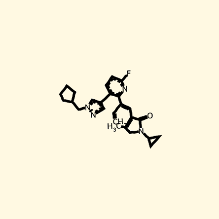 C=C/C(=C\C1=C(C)CN(C2CC2)C1=O)c1nc(F)ccc1-c1cnn(CC2CCCC2)c1